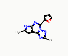 Cc1cc2c(nc(-c3ccco3)n3nc(C(C)C)nc23)[nH]1